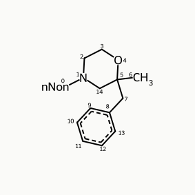 CCCCCCCCCN1CCOC(C)(Cc2ccccc2)C1